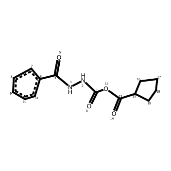 O=C(NNC(=O)c1ccccc1)OC(=O)C1CCCC1